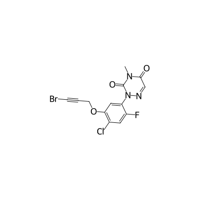 Cn1c(=O)cnn(-c2cc(OCC#CBr)c(Cl)cc2F)c1=O